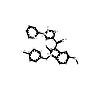 COc1ccc2c(c1)c(C(=O)c1cn(-c3ccccn3)nn1)c(C)n2Cc1ccc(Cl)cc1